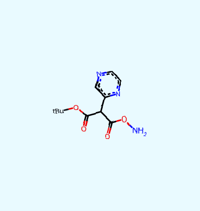 CC(C)(C)OC(=O)C(C(=O)ON)c1cnccn1